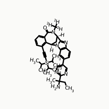 [2H]C([2H])([2H])N1C(=O)c2cccc(C#C[Si](C(C)C)(C(C)C)C(C)C)c2[C@H]2C[C@@H]1c1nc3ccc(-c4cnc(C(C)(N)CC)nc4)cc3n12